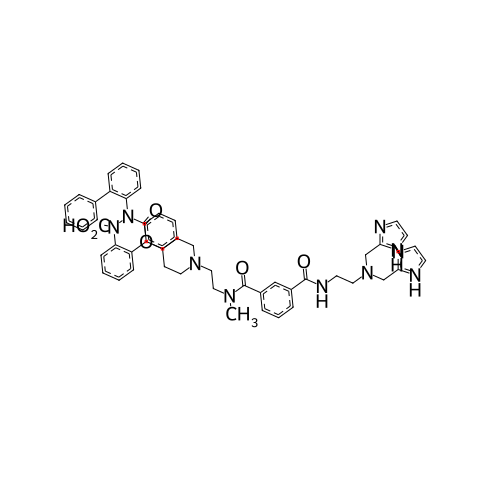 CN(CCN1CCC(OC(=O)N(c2ccccc2-c2ccccc2)N(C(=O)O)c2ccccc2-c2ccccc2)CC1)C(=O)c1cccc(C(=O)NCCN(Cc2ncc[nH]2)Cc2ncc[nH]2)c1